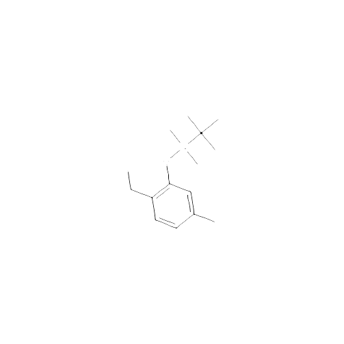 Cc1ccc(CO)c(O[Si](C)(C)C(C)(C)C)c1